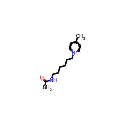 BC(=O)NCCCCCC[n+]1ccc(C)cc1